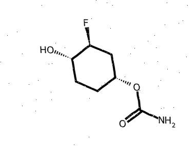 NC(=O)O[C@@H]1CC[C@H](O)[C@@H](F)C1